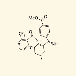 COC(=O)c1ccc(C(=N)C2=C(NC(=O)c3c(Cl)cccc3C(F)(F)F)CCC(C)C2)cc1